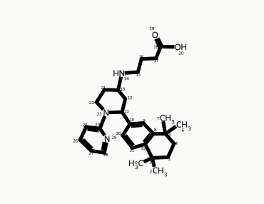 CC1(C)CCC(C)(C)c2cc(C3CC(NCCCC(=O)O)CCN3c3ccccn3)ccc21